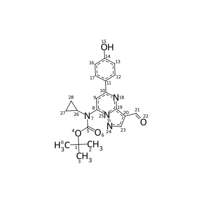 CC(C)(C)OC(=O)N(c1cc(-c2ccc(O)cc2)nc2c(C=O)cnn12)C1CC1